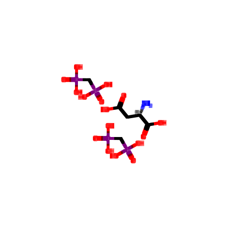 N[C@@H](CC(=O)O)C(=O)O.O=P(O)(O)CP(=O)(O)O.O=P(O)(O)CP(=O)(O)O